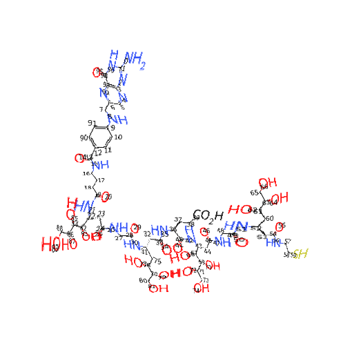 Nc1nc2ncc(CNc3ccc(C(=O)NCCCC(=O)N[C@H](CC(=O)NCC(=O)N[C@H](CC(=O)N[C@@H](CCC(=O)O)C(=O)N[C@H](CC(=O)NCC(=O)N[C@H](CC(=O)NCCS)C[C@H](O)[C@H](O)CO)[C@@H](O)[C@H](O)[C@H](O)CO)C[C@H](O)[C@H](O)CO)[C@@H](O)[C@H](O)[C@H](O)CO)cc3)nc2c(=O)[nH]1